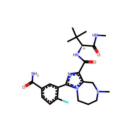 CNC(=O)[C@@H](NC(=O)c1nc(-c2cc(C(N)=O)ccc2F)n2c1CN(C)CCC2)C(C)(C)C